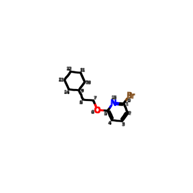 Brc1cccc(OCCC2CCCCC2)n1